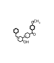 COc1ccc(C(=O)C2CCN(C3CN(Cc4ccccc4)CCC3O)CC2)cc1